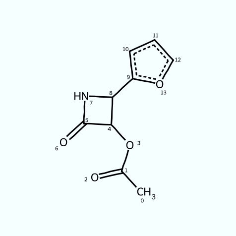 CC(=O)OC1C(=O)NC1c1ccco1